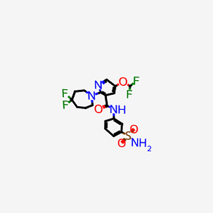 NS(=O)(=O)c1cccc(NC(=O)c2cc(OC(F)F)cnc2N2CCCC(F)(F)CC2)c1